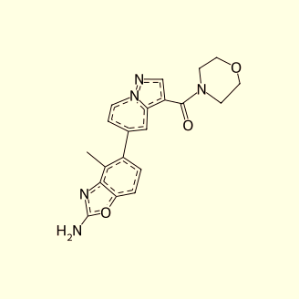 Cc1c(-c2ccn3ncc(C(=O)N4CCOCC4)c3c2)ccc2oc(N)nc12